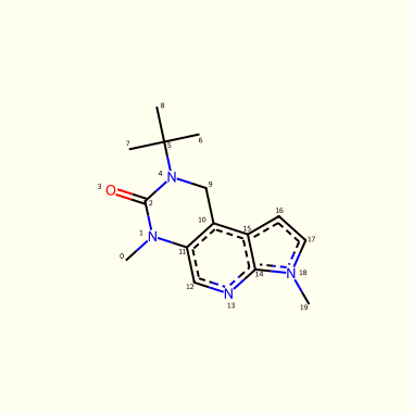 CN1C(=O)N(C(C)(C)C)Cc2c1cnc1c2ccn1C